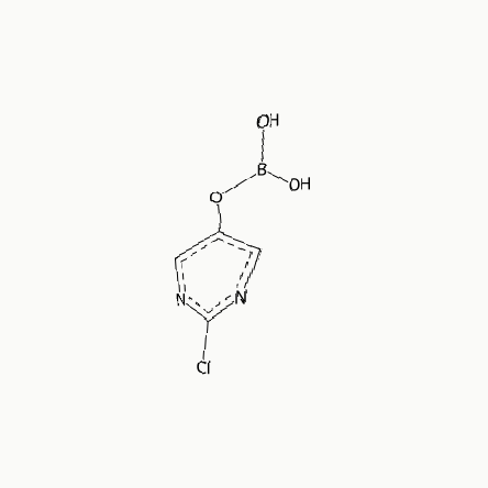 OB(O)Oc1cnc(Cl)nc1